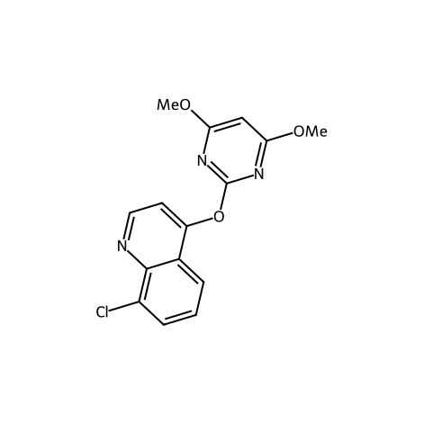 COc1cc(OC)nc(Oc2ccnc3c(Cl)cccc23)n1